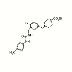 CCOC(=O)N1CCN(Cc2ccc(F)c(CNC(=O)Nc3ccc(C)nc3)c2)CC1